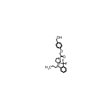 CCCN(c1ccccc1C(F)(F)F)C1CCN(C(=O)COc2ccc(CO)cc2)C1